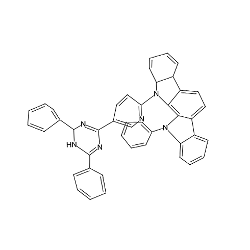 C1=CC2c3ccc4c5ccccc5n(-c5ccccc5)c4c3N(c3ccc(C4=NC(c5ccccc5)NC(c5ccccc5)=N4)cn3)C2C=C1